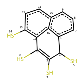 SC1=C(S)C(S)c2cccc3ccc(S)c1c23